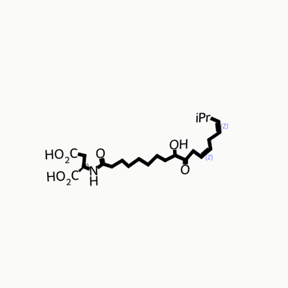 CC(C)/C=C\C/C=C\CC(=O)C(O)CCCCCCCC(=O)N[C@H](CC(=O)O)C(=O)O